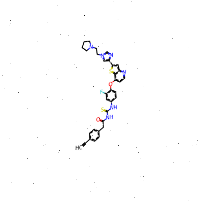 C#Cc1ccc(CC(=O)NC(=S)Nc2ccc(Oc3ccnc4cc(-c5cn(CCN6CCCC6)cn5)sc34)c(F)c2)cc1